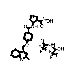 Cc1cc(COc2ccc(C(=O)NC3CNCC3C(=O)NO)cc2)c2ccccc2n1.O=C(O)C(F)(F)F.O=C(O)C(F)(F)F